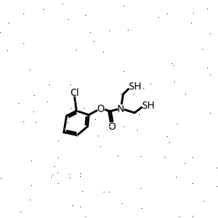 O=C(Oc1ccccc1Cl)N(CS)CS